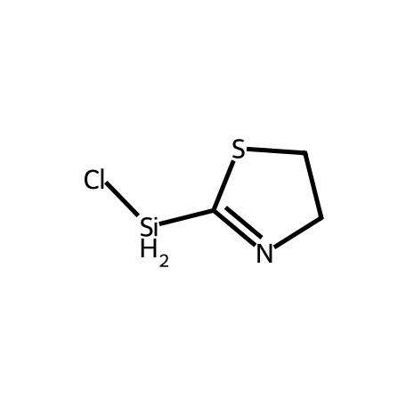 Cl[SiH2]C1=NCCS1